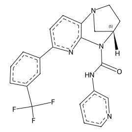 O=C(Nc1cccnc1)N1c2nc(-c3cccc(C(F)(F)F)c3)ccc2N2CC[C@H]1C2